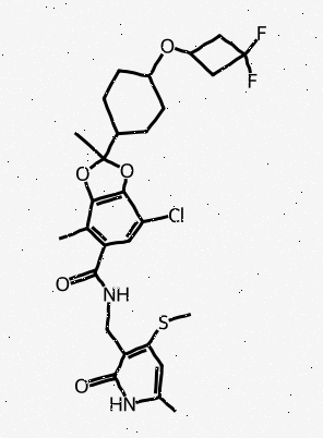 CSc1cc(C)[nH]c(=O)c1CNC(=O)c1cc(Cl)c2c(c1C)OC(C)(C1CCC(OC3CC(F)(F)C3)CC1)O2